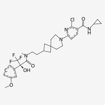 COc1cccc([C@@](O)(C(=O)N(C)CCC2CC3(CCN(c4ccc(C(=O)NC5CC5)c(Cl)n4)CC3)C2)C(F)(F)F)c1